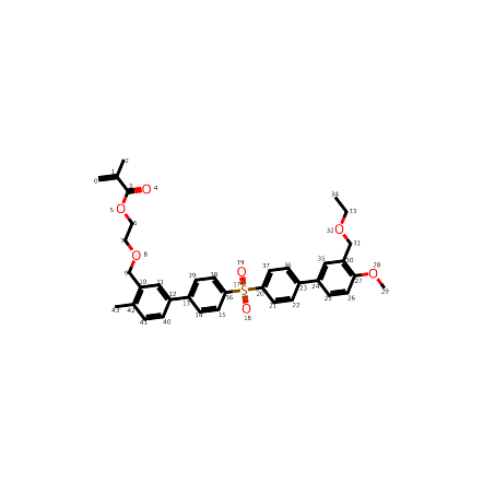 C=C(C)C(=O)OCCOCc1cc(-c2ccc(S(=O)(=O)c3ccc(-c4ccc(OC)c(COCC)c4)cc3)cc2)ccc1C